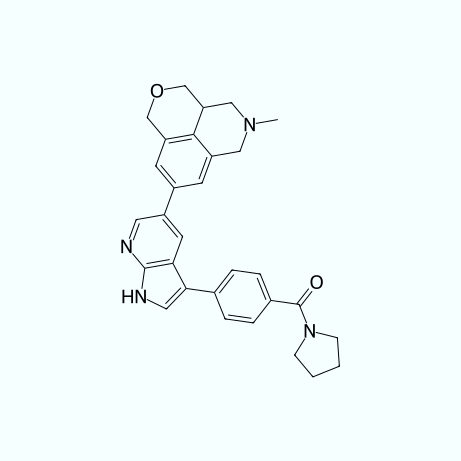 CN1Cc2cc(-c3cnc4[nH]cc(-c5ccc(C(=O)N6CCCC6)cc5)c4c3)cc3c2C(COC3)C1